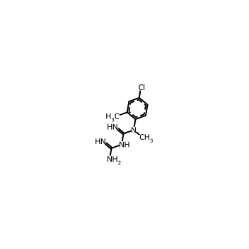 Cc1cc(Cl)ccc1N(C)C(=N)NC(=N)N